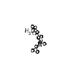 CC1(C)c2cc(-c3ccc(-c4cc(-c5ccc(-c6ccccc6)c(-c6ccccc6)c5)nc(-c5ccccc5)n4)c4ccccc34)ccc2-c2ccc3ccccc3c21